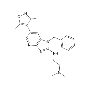 Cc1noc(C)c1-c1cnc2nc(NCCN(C)C)n(Cc3ccccc3)c2c1